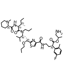 CCCO[C@H](C[C@H](C(C)C)N(CCC)C(=O)[C@@H](NC(=O)[C@H]1CCCCN1C)[C@@H](C)CC)c1nc(C(=O)NCC[C@@H](C(=O)OC(C)CN)c2cc(F)ccc2C)cs1